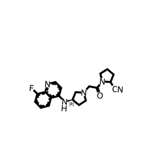 N#CC1CCCN1C(=O)CN1CC[C@@H](Nc2ccnc3c(F)cccc23)C1